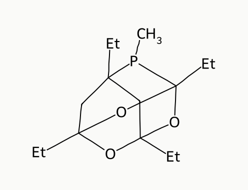 CCC12CC3(CC)CC(CC)(O1)OC(CC)(O2)P3C